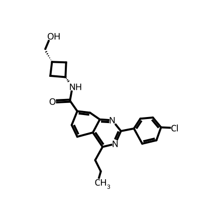 CCCc1nc(-c2ccc(Cl)cc2)nc2cc(C(=O)N[C@H]3C[C@@H](CO)C3)ccc12